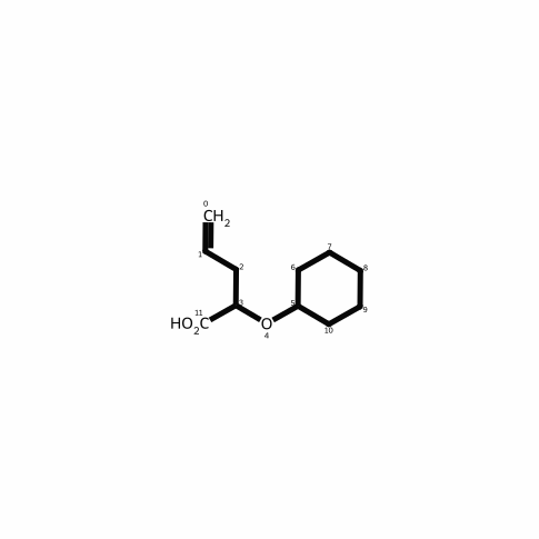 C=CCC(OC1CCCCC1)C(=O)O